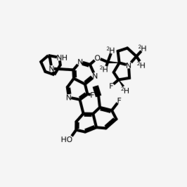 [2H]C1([2H])CC[C@@]2(C([2H])([2H])Oc3nc(N4CC5CCC4CN5)c4cnc(-c5cc(O)cc6ccc(F)c(C#C)c56)c(F)c4n3)C[C@@]([2H])(F)CN12